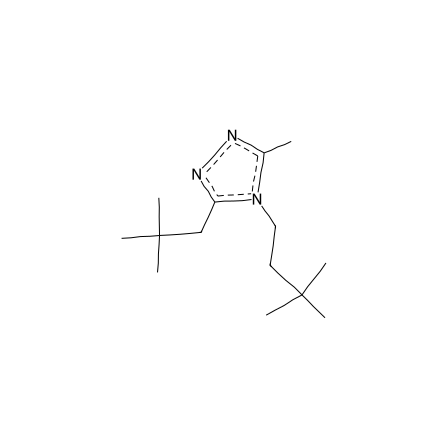 Cc1nnc(CC(C)(C)C)n1CCC(C)(C)C